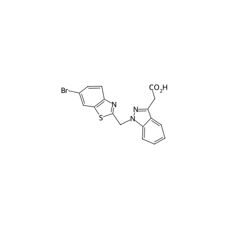 O=C(O)Cc1nn(Cc2nc3ccc(Br)cc3s2)c2ccccc12